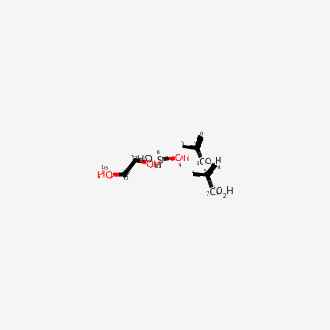 C=C(C)C(=O)O.C=C(C)C(=O)O.O=S(=O)(O)O.OCCO